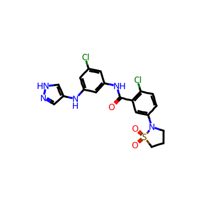 O=C(Nc1cc(Cl)cc(Nc2cn[nH]c2)c1)c1cc(N2CCCS2(=O)=O)ccc1Cl